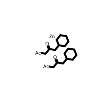 CC(=O)CC(=O)CC1CCCCC1.CC(=O)CC(=O)CC1CCCCC1.[Zn]